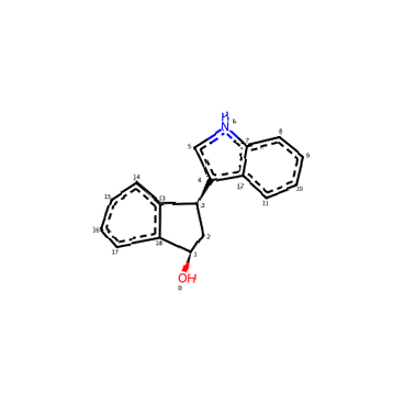 O[C@@H]1C[C@H](c2c[nH]c3ccccc23)c2ccccc21